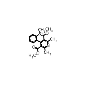 COC(=O)c1c(C)nc(C)c(C(=O)OC)c1-c1ccccc1SC